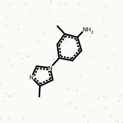 Cc1cn(-c2ccc(N)c(C)c2)cn1